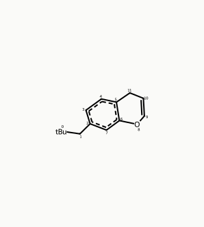 CC(C)(C)Cc1ccc2c(c1)OC=CC2